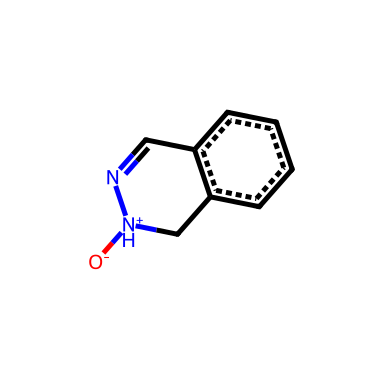 [O-][NH+]1Cc2ccccc2C=N1